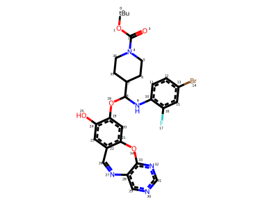 CC(C)(C)OC(=O)N1CCC(C(Nc2ccc(Br)cc2F)Oc2cc3c(cc2O)C=Nc2cncnc2O3)CC1